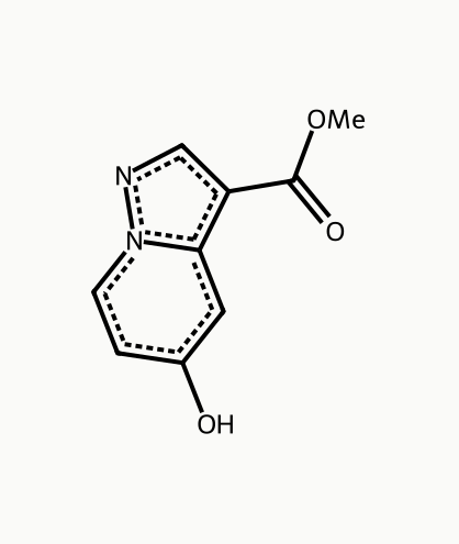 COC(=O)c1cnn2ccc(O)cc12